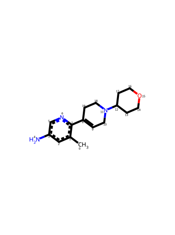 Cc1cc(N)cnc1C1=CCN(C2CCOCC2)CC1